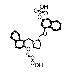 O=S(=O)(O)Oc1cc(OC[C@@H]2CCCN2Cc2c(OSOOO)ccc3ccccc23)c2ccccc2c1